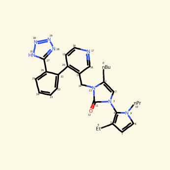 CCCCc1cn(-c2c(CC)ccn2CCC)c(=O)n1Cc1cnccc1-c1ccccc1-c1nnn[nH]1